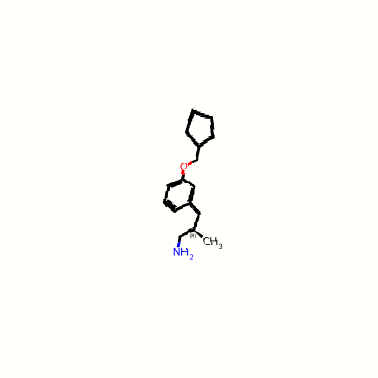 C[C@@H](CN)Cc1cccc(OCC2CCCC2)c1